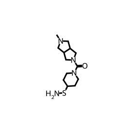 CN1CC2CN(C(=O)N3CCC(SN)CC3)CC2C1